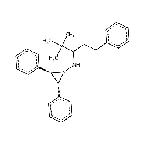 CC(C)(C)C(CCc1ccccc1)NN1[C@H](c2ccccc2)[C@H]1c1ccccc1